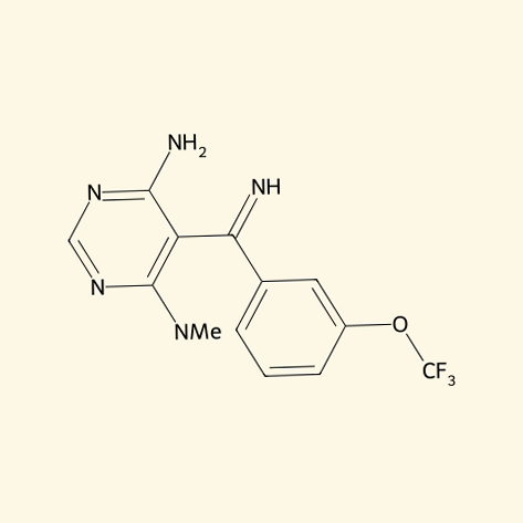 CNc1ncnc(N)c1C(=N)c1cccc(OC(F)(F)F)c1